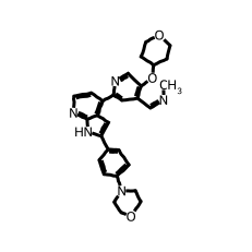 C/N=C\c1cc(-c2ccnc3[nH]c(-c4ccc(N5CCOCC5)cc4)cc23)ncc1OC1CCOCC1